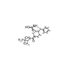 CC(C)(C)CCC(=O)N1CCC(Cc2ccccc2)CC1.NC(=O)O